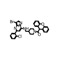 O=C(C1c2ccccc2Oc2ccccc21)N1CCC(CNc2cc(-c3ccccc3Cl)nc3c(Br)cnn23)CC1